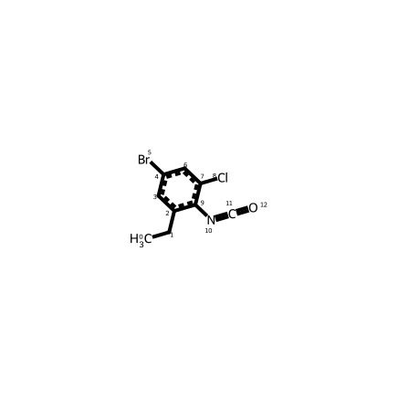 CCc1cc(Br)cc(Cl)c1N=C=O